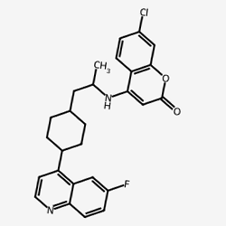 CC(CC1CCC(c2ccnc3ccc(F)cc23)CC1)Nc1cc(=O)oc2cc(Cl)ccc12